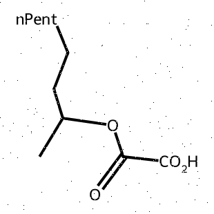 CCCCCCCC(C)OC(=O)C(=O)O